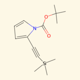 CC(C)(C)OC(=O)n1cccc1C#C[Si](C)(C)C